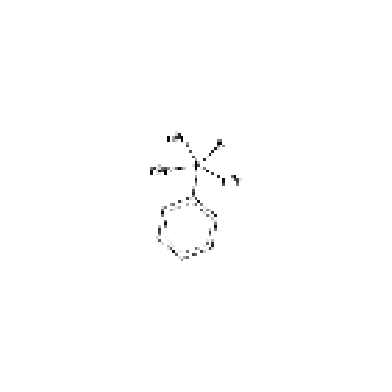 CCCP(Br)(CCC)(CCC)c1ccccc1